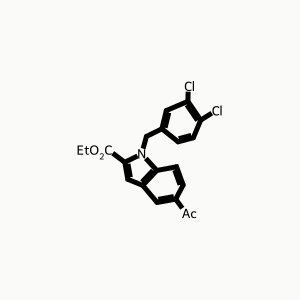 CCOC(=O)c1cc2cc(C(C)=O)ccc2n1Cc1ccc(Cl)c(Cl)c1